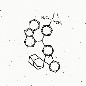 C[Si](C)(C)c1ccc(N(c2ccc3c(c2)C2(c4ccccc4-3)C3CC4CC(C3)CC2C4)c2cccc3sc4ccccc4c23)cc1